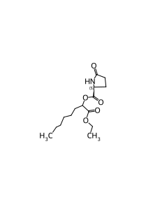 CCCCCCC(OC(=O)[C@@H]1CCC(=O)N1)C(=O)OCC